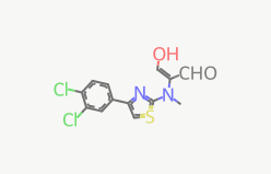 CN(C(C=O)=CO)c1nc(-c2ccc(Cl)c(Cl)c2)cs1